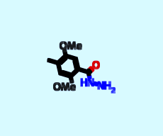 COc1cc(C(=O)NN)c(OC)cc1C